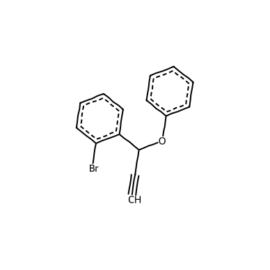 C#CC(Oc1ccccc1)c1ccccc1Br